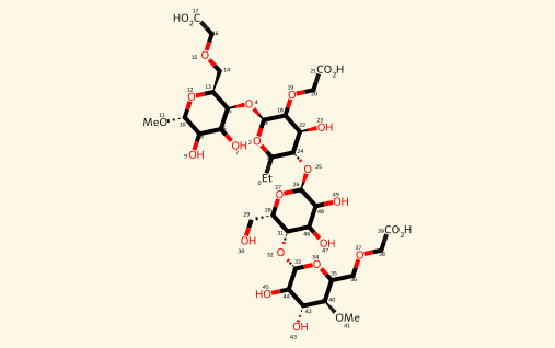 CCC1O[C@@H](O[C@H]2C(O)C(O)[C@H](OC)O[C@H]2COCC(=O)O)C(OCC(=O)O)[C@@H](O)[C@@H]1O[C@@H]1O[C@@H](CO)[C@@H](O[C@@H]2OC(COCC(=O)O)[C@@H](OC)[C@H](O)C2O)C(O)C1O